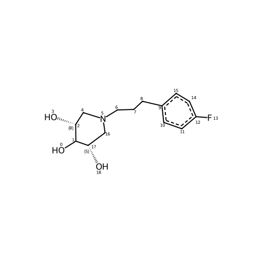 OC1[C@H](O)CN(CCCc2ccc(F)cc2)C[C@@H]1O